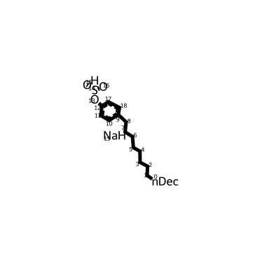 CCCCCCCCCCCCCCCCCCc1ccc(O[SH](=O)=O)cc1.[NaH]